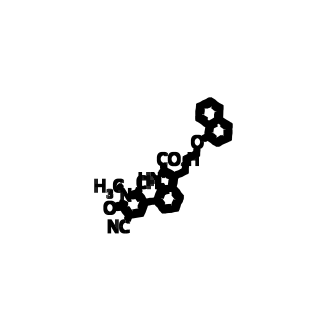 Cc1c(-c2cccc3c(CCCOc4cccc5ccccc45)c(C(=O)O)[nH]c23)cc(C#N)c(=O)n1C